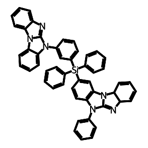 C1=CC2N=C3N(c4ccccc4)c4ccc([Si](c5ccccc5)(c5ccccc5)c5cccc(-n6c7ccccc7n7c8ccccc8nc67)c5)cc4N3C2C=C1